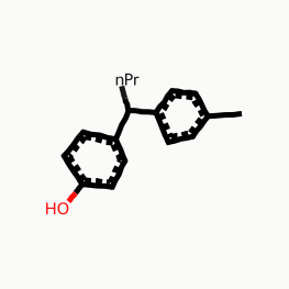 CCCC(c1ccc(C)cc1)c1ccc(O)cc1